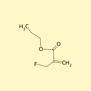 C=C(CF)C(=O)OCCC